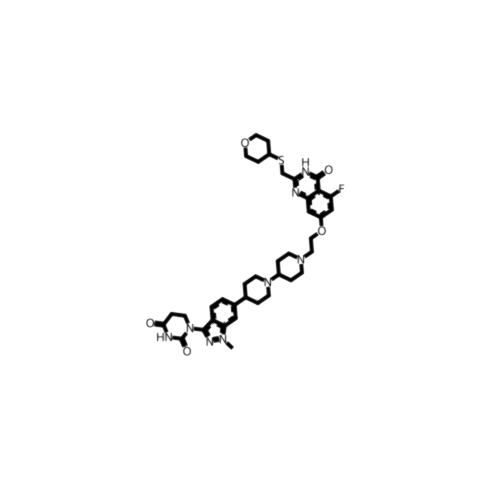 Cn1nc(N2CCC(=O)NC2=O)c2ccc(C3CCN(C4CCN(CCOc5cc(F)c6c(=O)[nH]c(CSC7CCOCC7)nc6c5)CC4)CC3)cc21